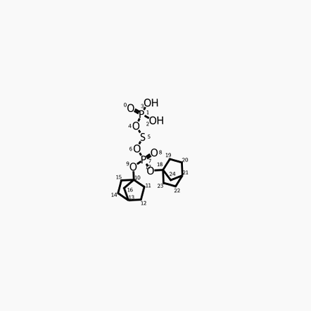 O=P(O)(O)OSOP(=O)(OC12CCC(CC1)C2)OC12CCC(CC1)C2